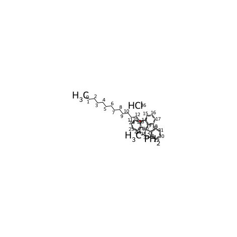 CCCCCCCCCCCCCCc1ccccc1C(c1ccccc1)(c1ccccc1)C(C)P.Cl